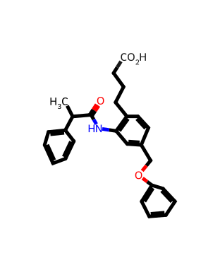 CC(C(=O)Nc1cc(COc2ccccc2)ccc1CCCC(=O)O)c1ccccc1